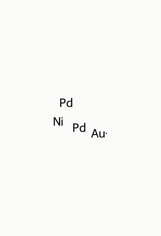 [Au].[Ni].[Pd].[Pd]